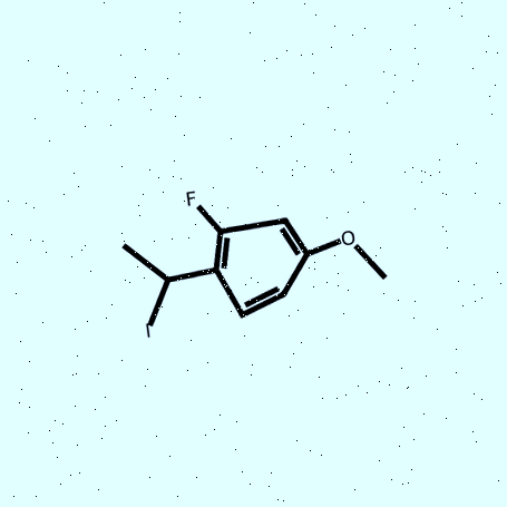 COc1ccc(C(C)I)c(F)c1